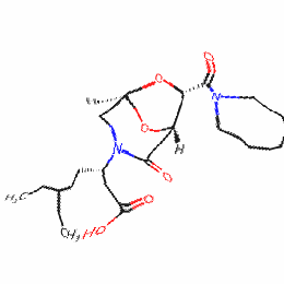 CC(C)C[C@@H](C(=O)O)N1C[C@H]2O[C@H](C(=O)N3CCCCC3)[C@@H](O2)C1=O